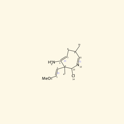 CO/C=C/C1(C)/C(N)=C/CC(C)/C=N\C1Cl